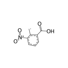 [CH2]c1c(C(=O)O)cccc1[N+](=O)[O-]